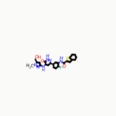 Cn1nc(Nc2cc(-c3ccc(F)c(NC(=O)c4cc5ccccc5s4)c3)n[nH]c2=O)cc1CO